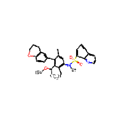 CCN(c1cc(C)c(-c2ccc3c(c2)CCCO3)c(C(OC(C)(C)C)C(=O)O)c1C)S(=O)(=O)c1cccc2cccnc12